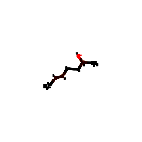 CSSCC[S+](C)[O-]